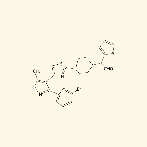 Cc1onc(-c2cccc(Br)c2)c1-c1csc(C2CCN(C(C=O)c3cccs3)CC2)n1